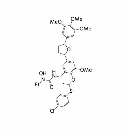 CCN(O)C(=O)NCc1cc(C2CCC(c3cc(OC)c(OC)c(OC)c3)O2)cc(OC)c1OC(C)Sc1ccc(Cl)cc1